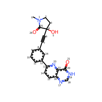 CN1CCC(O)(C#Cc2cccc(-c3ccc4nc[nH]c(=O)c4n3)c2)C1=O